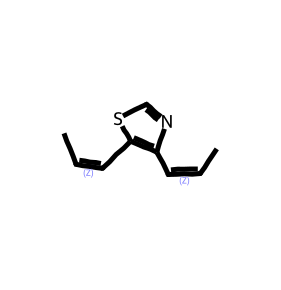 C/C=C\c1ncsc1/C=C\C